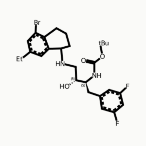 CCc1cc(Br)c2c(c1)C(NC[C@@H](O)[C@H](Cc1cc(F)cc(F)c1)NC(=O)OC(C)(C)C)CCC2